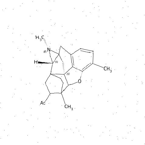 CC(=O)C1CC23CCC1(C)C1Oc4c(C)ccc5c4[C@@]12CC1(C5)[C@H]3[N@]1C